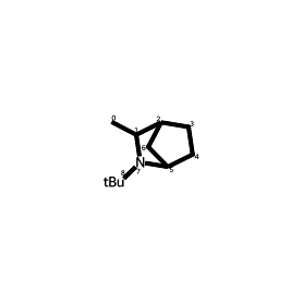 CC1C2CCC(C2)N1C(C)(C)C